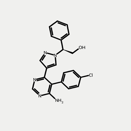 Nc1ncnc(-c2cnn([C@H](CO)c3ccccc3)c2)c1-c1ccc(Cl)cc1